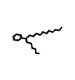 [CH2]CCCCCC(CCCCCCCCCCC)c1ccccc1